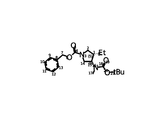 CC[C@H]1CN(C(=O)OCc2ccccc2)C[C@H]1N(C)C(=O)OC(C)(C)C